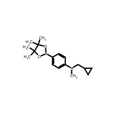 CN(CC1CC1)c1ccc(B2OC(C)(C)C(C)(C)O2)cc1